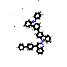 C1=CCC2C(=C1)N=C(n1c3ccccc3c3cc(-c4ccc5c(c4)c4ccccc4n5-c4ccccc4)ccc31)C=C2c1ccc(-c2ccccc2)cc1